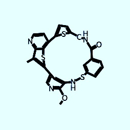 COc1ncc2cc1NSc1cccc(c1)C(=O)NCc1ccc(s1)-c1ccnc3c(C)c-2sc13